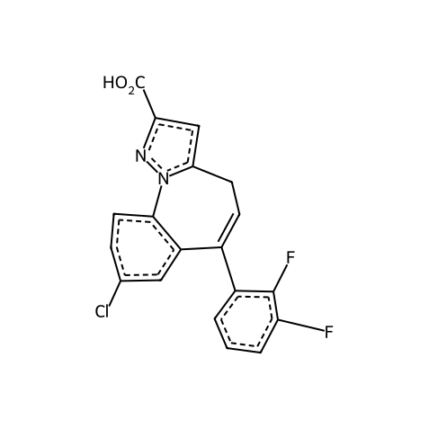 O=C(O)c1cc2n(n1)-c1ccc(Cl)cc1C(c1cccc(F)c1F)=CC2